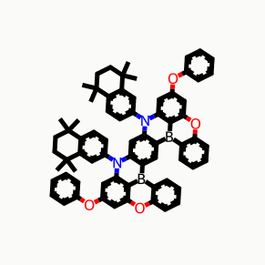 CC1(C)CCC(C)(C)c2cc(N3c4cc5c(cc4B4c6ccccc6Oc6cc(Oc7ccccc7)cc3c64)B3c4ccccc4Oc4cc(Oc6ccccc6)cc(c43)N5c3ccc4c(c3)C(C)(C)CCC4(C)C)ccc21